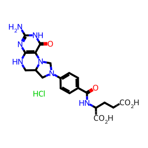 Cl.Nc1nc2c(c(=O)[nH]1)N1CN(c3ccc(C(=O)NC(CCC(=O)O)C(=O)O)cc3)CC1CN2